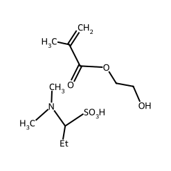 C=C(C)C(=O)OCCO.CCC(N(C)C)S(=O)(=O)O